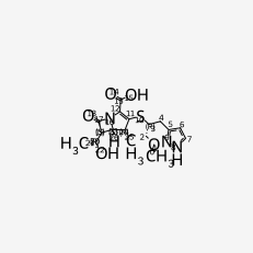 COC[C@@H](Cc1cc[nH]n1)SC1=C(C(=O)O)N2C(=O)[C@H]([C@@H](C)O)[C@H]2[C@H]1C